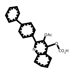 CC(=O)Oc1c(-c2ccc(-c3ccccc3)cc2)nc2ccccc2c1OC(=O)O